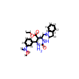 CCOC(=O)/C(=C(\CN1CCc2ccccc21)NC=O)C(N)c1cccc(N(C)OC)c1